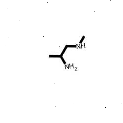 CNCC(C)N